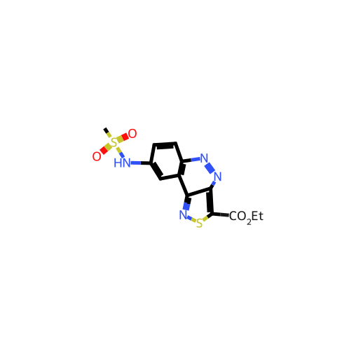 CCOC(=O)c1snc2c1nnc1ccc(NS(C)(=O)=O)cc12